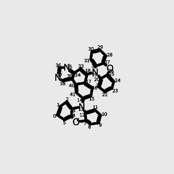 c1ccc2c(c1)Oc1ccccc1N2c1ccc2c(N3c4ccccc4Oc4ccccc43)cc3ncncc3c2c1